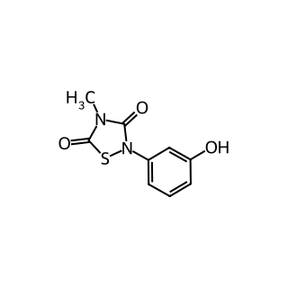 Cn1c(=O)sn(-c2cccc(O)c2)c1=O